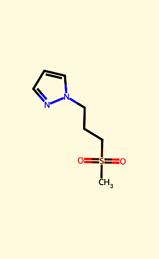 CS(=O)(=O)CCCn1cccn1